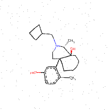 Cc1ccc(O)cc1C12CCCC[C@@]1(O)[C@@H](C)N(CC1CCC1)CC2